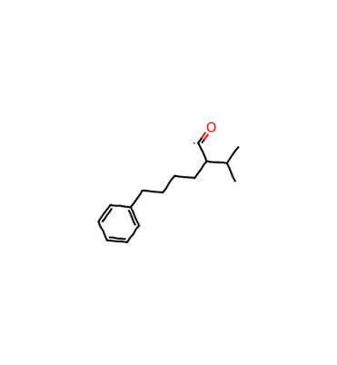 CC(C)C([C]=O)CCCCc1ccccc1